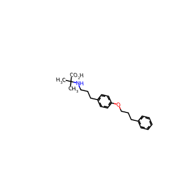 CC(C)(NCCCc1ccc(OCCCc2ccccc2)cc1)C(=O)O